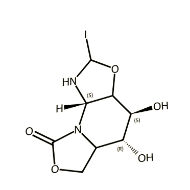 O=C1OCC2[C@@H](O)[C@H](O)C3OC(I)N[C@H]3N12